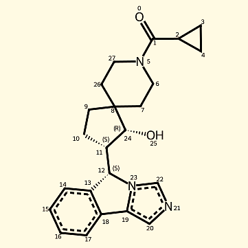 O=C(C1CC1)N1CCC2(CC[C@@H]([C@H]3c4ccccc4-c4cncn43)[C@H]2O)CC1